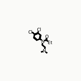 CCC(=O)N(CCN(C)C)c1ccc(Cl)c(Cl)c1